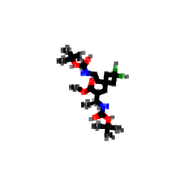 COC(=O)C(CC1(CCNC(=O)OC(C)(C)C)CC(F)(F)C1)[C@@H](C)NC(=O)OC(C)(C)C